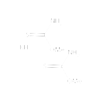 COC(N)=S.COC(N)=S.[KH]